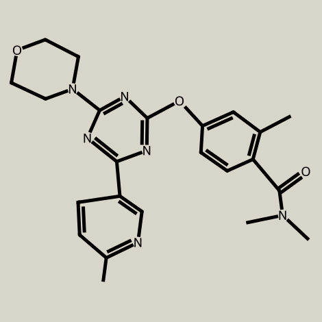 Cc1ccc(-c2nc(Oc3ccc(C(=O)N(C)C)c(C)c3)nc(N3CCOCC3)n2)cn1